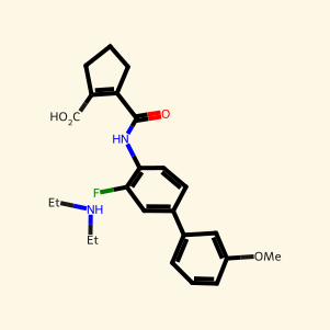 CCNCC.COc1cccc(-c2ccc(NC(=O)C3=C(C(=O)O)CCC3)c(F)c2)c1